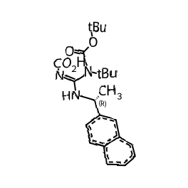 C[C@@H](NC(=NC(=O)O)N(C(=O)OC(C)(C)C)C(C)(C)C)c1ccc2ccccc2c1